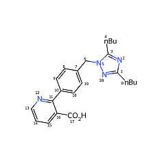 CCCCc1nc(CCCC)n(Cc2ccc(-c3ncccc3C(=O)O)cc2)n1